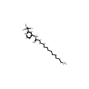 CCCCCCCCCCCCCC(=O)Nc1ccnc(C(F)(F)F)c1